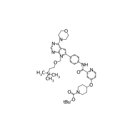 CC(C)(C)OC(=O)N1CCC(Oc2ccnc(C(=O)Nc3ccc(-c4cc5c(N6CCOCC6)ncnc5n4COCC[Si](C)(C)C)cc3)c2)CC1